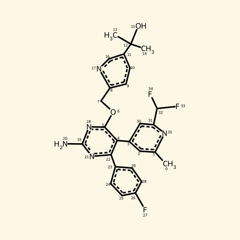 Cc1cc(-c2c(OCc3ccc(C(C)(C)O)cn3)nc(N)nc2-c2ccc(F)cc2)cc(C(F)F)n1